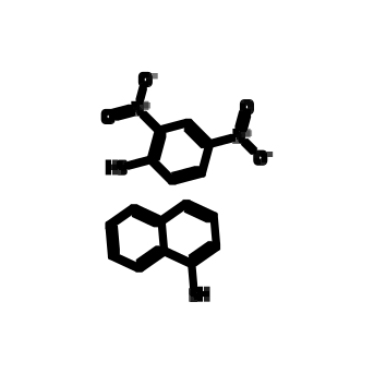 O=[N+]([O-])c1ccc(S)c([N+](=O)[O-])c1.Sc1cccc2ccccc12